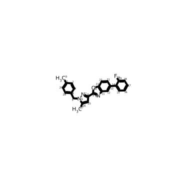 Cc1ccc(Cn2nc(-c3nc4cc(-c5ccccc5F)ccc4o3)cc2C)cc1